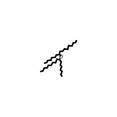 CCCCCCCCCC(CCCCCCC)OC(CCCCCCC)CCCCCCCCC